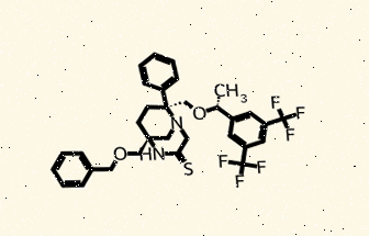 C[C@@H](OC[C@@]1(c2ccccc2)CC[C@]2(COCc3ccccc3)CN1CC(=S)N2)c1cc(C(F)(F)F)cc(C(F)(F)F)c1